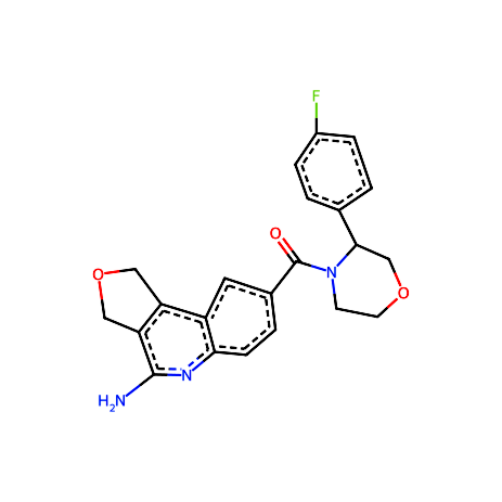 Nc1nc2ccc(C(=O)N3CCOCC3c3ccc(F)cc3)cc2c2c1COC2